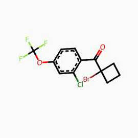 O=C(c1ccc(OC(F)(F)F)cc1Cl)C1(Br)CCC1